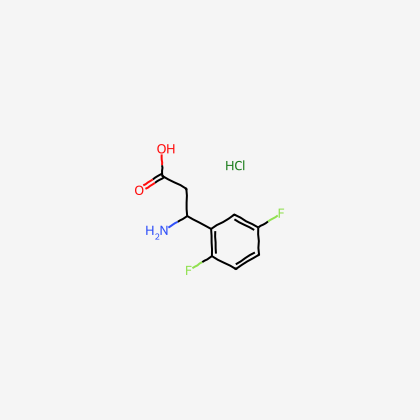 Cl.NC(CC(=O)O)c1cc(F)ccc1F